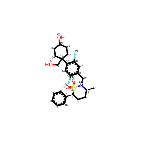 C[C@H]1CC[C@@H](c2ccccc2)S(=O)(=O)N1Cc1cc(F)c(C2(CO)CCC(O)CC2)cc1F